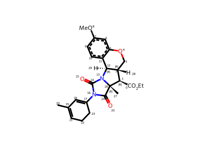 CCOC(=O)[C@@H]1[C@H]2COc3cc(OC)ccc3[C@@H]2N2C(=O)N(C3=CC(C)=CCC3)C(=O)[C@@]12C